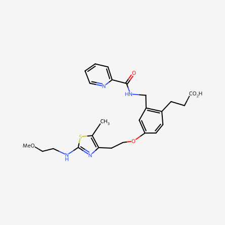 COCCNc1nc(CCOc2ccc(CCC(=O)O)c(CNC(=O)c3ccccn3)c2)c(C)s1